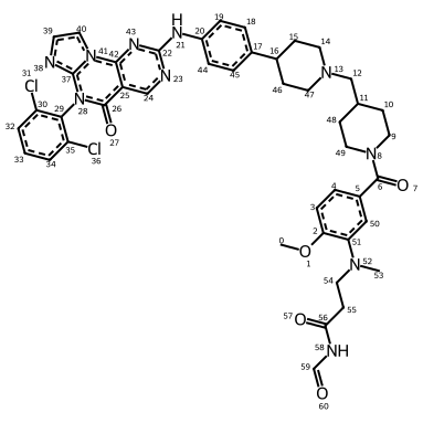 COc1ccc(C(=O)N2CCC(CN3CCC(c4ccc(Nc5ncc6c(=O)n(-c7c(Cl)cccc7Cl)c7nccn7c6n5)cc4)CC3)CC2)cc1N(C)CCC(=O)NC=O